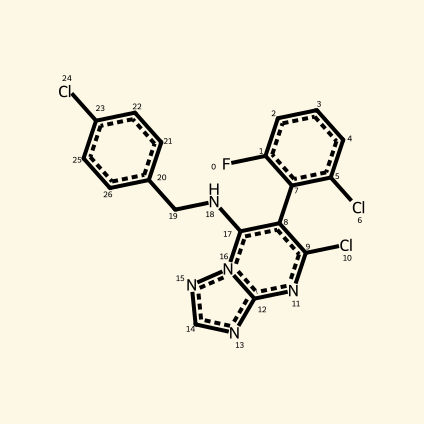 Fc1cccc(Cl)c1-c1c(Cl)nc2ncnn2c1NCc1ccc(Cl)cc1